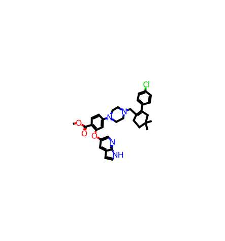 COC(=O)c1ccc(N2CCN(CC3=C(c4ccc(Cl)cc4)CC(C)(C)CC3)CC2)cc1Oc1cnc2[nH]ccc2c1